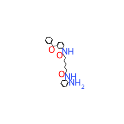 Nc1ccccc1NC(=O)CCCCCC(=O)Nc1cccc(C(=O)c2ccccc2)c1